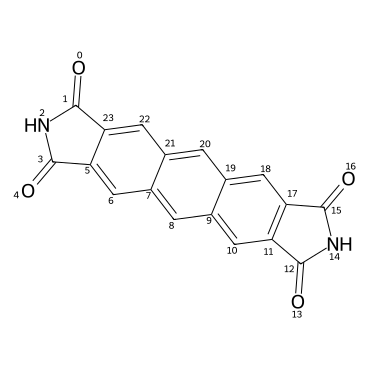 O=c1[nH]c(=O)c2cc3cc4cc5c(=O)[nH]c(=O)c5cc4cc3cc12